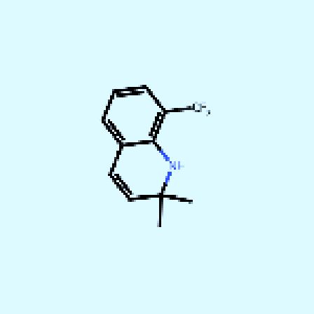 CC1(C)C=Cc2cccc(C(F)(F)F)c2N1